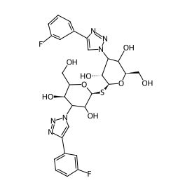 OCC1O[C@@H](S[C@@H]2O[C@H](CO)C(O)C(n3cc(-c4cccc(F)c4)nn3)[C@H]2O)C(O)C(n2cc(-c3cccc(F)c3)nn2)[C@H]1O